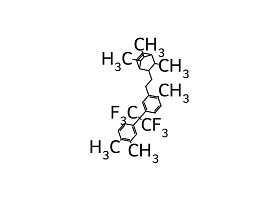 Cc1ccc(C(c2ccc(C)c(CCC3C(C)C4C=CC3C(C)C4C)c2)(C(F)(F)F)C(F)(F)F)cc1C